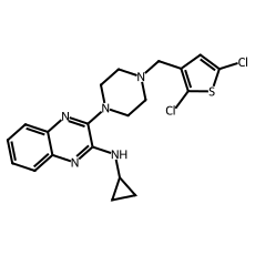 Clc1cc(CN2CCN(c3nc4ccccc4nc3NC3CC3)CC2)c(Cl)s1